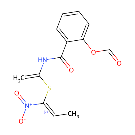 C=C(NC(=O)c1ccccc1OC=O)S/C(=C\C)[N+](=O)[O-]